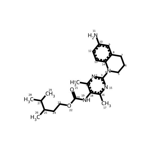 Cc1nc(N2CCCc3cc(N)ccc32)nc(C)c1NC(=O)OCCC(C)C(C)C